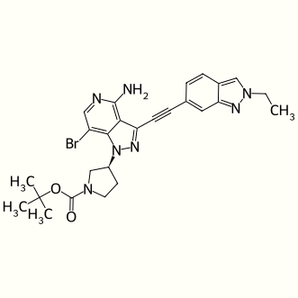 CCn1cc2ccc(C#Cc3nn([C@H]4CCN(C(=O)OC(C)(C)C)C4)c4c(Br)cnc(N)c34)cc2n1